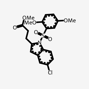 COC(=O)CCc1cc2cc(Cl)ccc2n1S(=O)(=O)c1cc(OC)ccc1OC